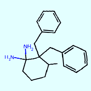 CC1CCCC(N)(N)C1(Cc1ccccc1)Cc1ccccc1